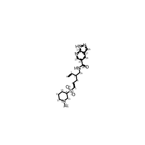 C=CC(C/C=C/S(=O)(=O)C1CCCN(C(C)=O)C1)CNC(=O)c1cnc2[nH]ncc2c1